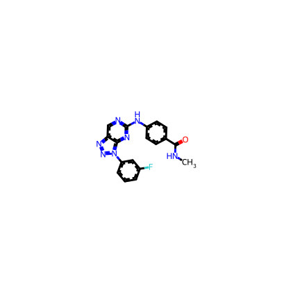 CNC(=O)c1ccc(Nc2ncc3nnn(-c4cccc(F)c4)c3n2)cc1